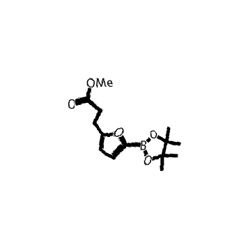 COC(=O)CCc1ccc(B2OC(C)(C)C(C)(C)O2)o1